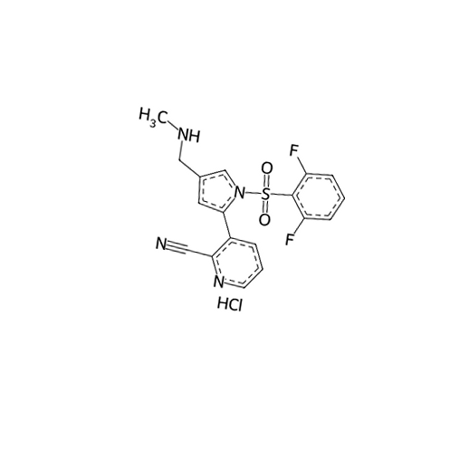 CNCc1cc(-c2cccnc2C#N)n(S(=O)(=O)c2c(F)cccc2F)c1.Cl